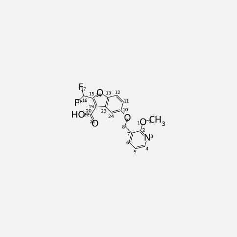 COc1ncccc1COc1ccc2oc(C(F)F)c(C(=O)O)c2c1